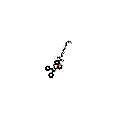 NCCOCCOCCNC(=O)c1ccc(Cn2c(-c3cccnc3)nc(-c3ccccc3)c2-c2ccccc2)cc1